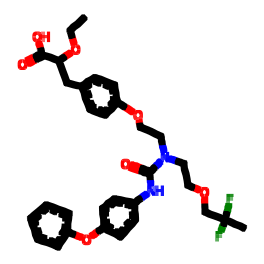 CCOC(Cc1ccc(OCCN(CCOCC(C)(F)F)C(=O)Nc2ccc(Oc3ccccc3)cc2)cc1)C(=O)O